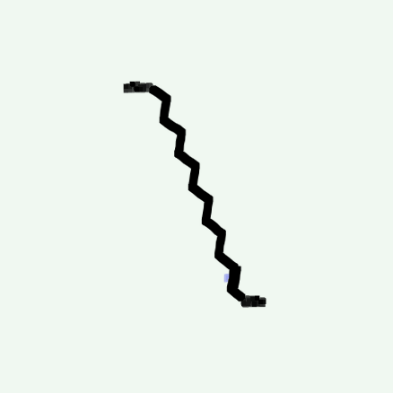 [CH2]O/C=C/CCCCCCCCCCCCCCCCCCC